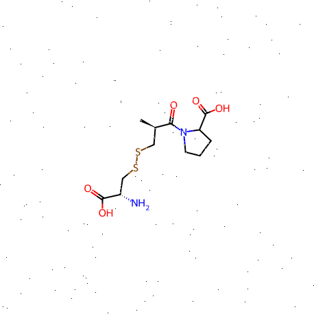 C[C@H](CSSC[C@H](N)C(=O)O)C(=O)N1CCCC1C(=O)O